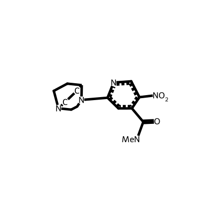 CNC(=O)c1cc(N2CCN3CCC2CC3)ncc1[N+](=O)[O-]